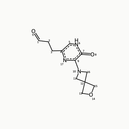 O=CCCc1c[nH]c(=O)c(N2CC3(COC3)C2)n1